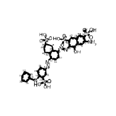 Nc1cc2c(O)c(N=Nc3ccc(N=Nc4ccc(Nc5ccccc5)c(S(=O)(=O)O)c4)c4c3CC(S(=O)(=O)O)=CC4)c(S(=O)(=O)O)cc2cc1S(=O)(=O)O